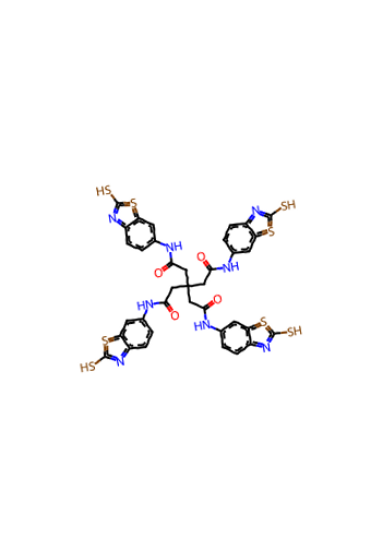 O=C(CC(CC(=O)Nc1ccc2nc(S)sc2c1)(CC(=O)Nc1ccc2nc(S)sc2c1)CC(=O)Nc1ccc2nc(S)sc2c1)Nc1ccc2nc(S)sc2c1